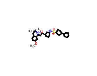 COc1ccc2c(c1)C(=CC(=O)c1cccc(NS(=O)(=O)c3ccc(-c4ccccc4)cc3)c1)NC(C)(C)C2